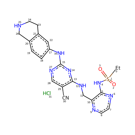 CCS(=O)(=O)Nc1nccnc1CNc1nc(Nc2ccc3c(c2)CCNC3)ncc1C#N.Cl